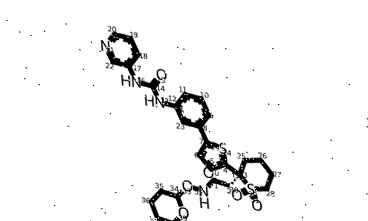 O=C(C[C@]1(c2ccc(-c3cccc(NC(=O)Nc4cccnc4)c3)s2)CCCCS1(=O)=O)NOC1CCCCO1